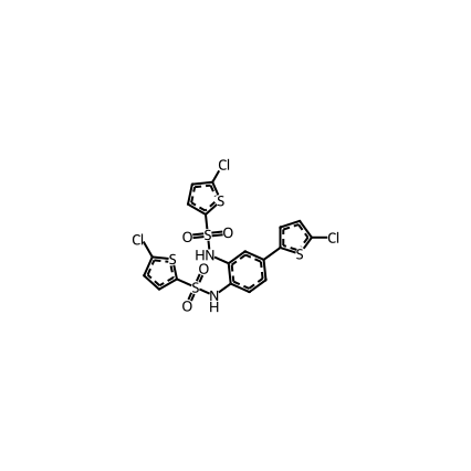 O=S(=O)(Nc1ccc(-c2ccc(Cl)s2)cc1NS(=O)(=O)c1ccc(Cl)s1)c1ccc(Cl)s1